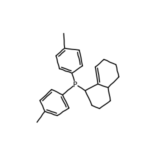 Cc1ccc(P(c2ccc(C)cc2)C2CCCC3CCCC=C32)cc1